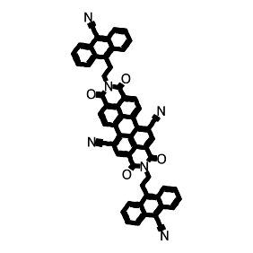 N#Cc1c2ccccc2c(CCN2C(=O)c3ccc4c5c(C#N)cc6c7c(cc(C#N)c(c8ccc(c3c48)C2=O)c75)C(=O)N(CCc2c3ccccc3c(C#N)c3ccccc23)C6=O)c2ccccc12